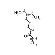 CCN(CC)CCCOC(=O)NC